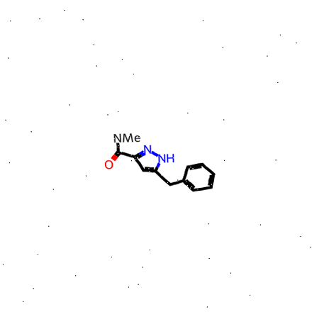 CNC(=O)c1cc(Cc2ccccc2)[nH]n1